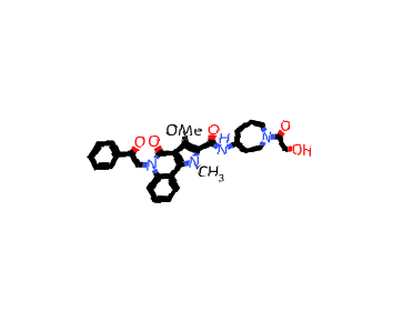 COc1c(C(=O)NC2CCCN(C(=O)CO)CC2)n(C)c2c1c(=O)n(CC(=O)c1ccccc1)c1ccccc21